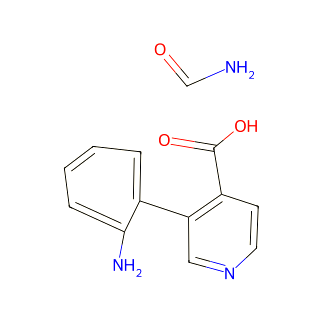 NC=O.Nc1ccccc1-c1cnccc1C(=O)O